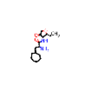 CC[C@@H]1OCC(=O)[C@H]1NC(=O)[C@@H](N)CC1CCCCCC1